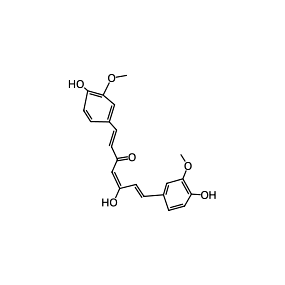 COc1cc(/C=C/C(=O)/C=C(O)\C=C\c2ccc(O)c(OC)c2)ccc1O